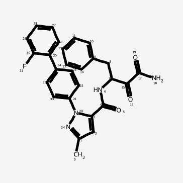 Cc1cc(C(=O)NC(Cc2ccccc2)C(=O)C(N)=O)n(-c2ccc(-c3ccccc3F)cc2)n1